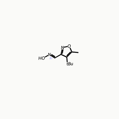 Cc1onc(/C=N/O)c1C(C)(C)C